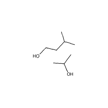 CC(C)CCO.CC(C)O